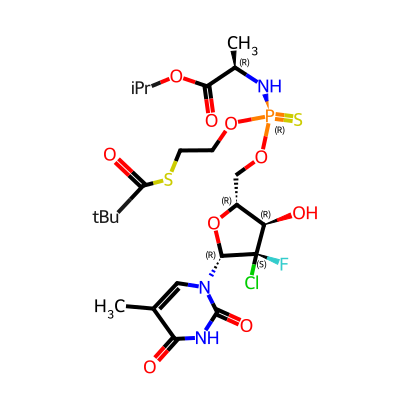 Cc1cn([C@@H]2O[C@H](CO[P@](=S)(N[C@H](C)C(=O)OC(C)C)OCCSC(=O)C(C)(C)C)[C@@H](O)[C@]2(F)Cl)c(=O)[nH]c1=O